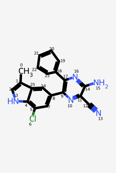 Cc1c[nH]c2c(Cl)cc(-c3nc(C#N)c(N)nc3-c3ccccc3)cc12